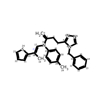 C=C(CCc1nncn1Cc1ccccc1)N(/C=C(\C)c1cccs1)c1ccc(C)cc1